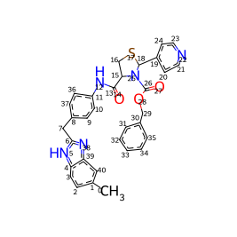 Cc1ccc2[nH]c(Cc3ccc(NC(=O)C4CSC(c5ccncc5)N4C(=O)OCc4ccccc4)cc3)nc2c1